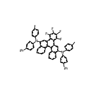 Cc1ccc(N(c2ccc(C(C)C)cc2)c2cc3c4c(F)c(F)c(F)c(F)c4c4cc(N(c5ccc(C)cc5)c5ccc(C(C)C)cc5)c5ccccc5c4c3c3ccccc23)cc1